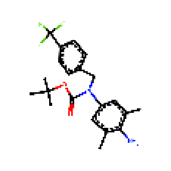 Cc1cc(N(Cc2ccc(C(F)(F)F)cc2)C(=O)OC(C)(C)C)cc(C)c1N